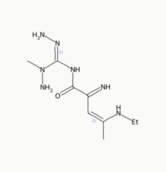 CCN/C(C)=C\C(=N)C(=O)N/C(=N/N)N(C)N